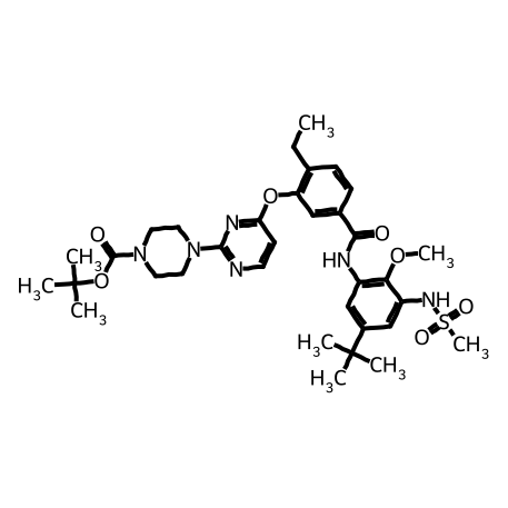 CCc1ccc(C(=O)Nc2cc(C(C)(C)C)cc(NS(C)(=O)=O)c2OC)cc1Oc1ccnc(N2CCN(C(=O)OC(C)(C)C)CC2)n1